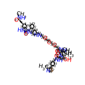 CCNC(=O)C#Cc1ccc2c(c1)NC(=O)/C2=C(\Nc1ccc(CNCCOCCOCCOCCC(=O)N[C@H](C(=O)N2C[C@H](O)C[C@H]2C(=O)NCc2ccc(-c3scnc3C)cc2)C(C)(C)C)cc1)c1ccccc1